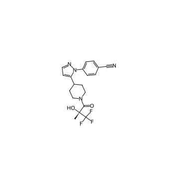 C[C@@](O)(C(=O)N1CCC(c2ccnn2-c2ccc(C#N)cc2)CC1)C(F)(F)F